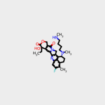 CC[C@@]1(O)C(=O)OCc2c1cc1n(c2=O)Cc2c-1nc1cc(F)c(C)c3c1c2[C@@H](N(C)CCCCNC)CC3